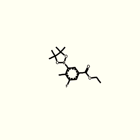 CCOC(=O)c1cc(F)c(C)c(B2OC(C)(C)C(C)(C)O2)c1